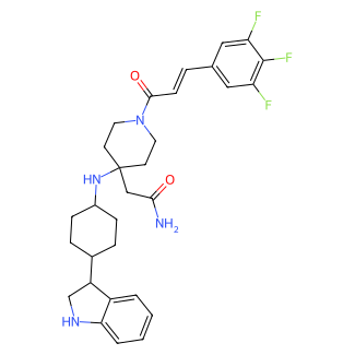 NC(=O)CC1(NC2CCC(C3CNc4ccccc43)CC2)CCN(C(=O)C=Cc2cc(F)c(F)c(F)c2)CC1